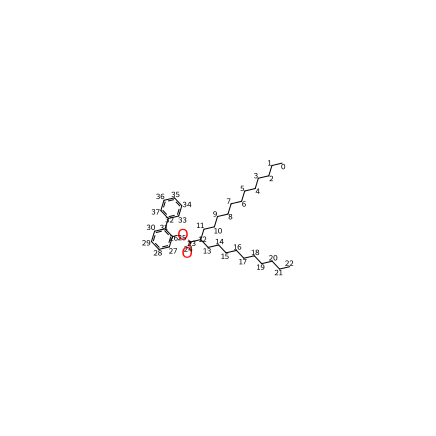 CCCCCCCCCCCCC(CCCCCCCCCC)C(=O)Oc1ccccc1-c1ccccc1